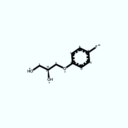 OC[C@H](O)COc1ccc(F)cc1